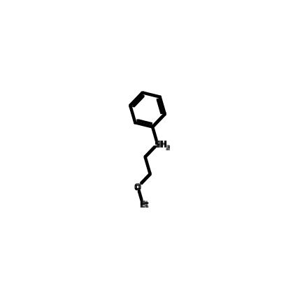 CCOCC[SiH2]c1ccccc1